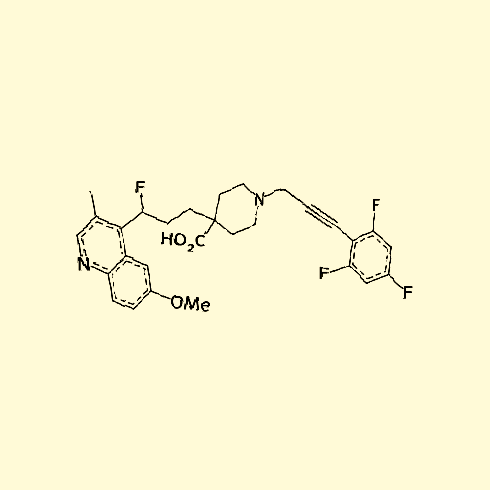 COc1ccc2ncc(C)c(C(F)CCC3(C(=O)O)CCN(CC#Cc4c(F)cc(F)cc4F)CC3)c2c1